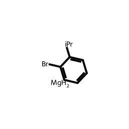 CC(C)c1ccccc1Br.[MgH2]